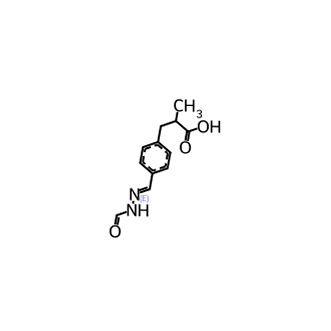 CC(Cc1ccc(/C=N/NC=O)cc1)C(=O)O